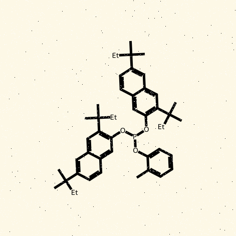 CCC(C)(C)c1ccc2cc(OP(Oc3ccccc3C)Oc3cc4ccc(C(C)(C)CC)cc4cc3C(C)(C)CC)c(C(C)(C)CC)cc2c1